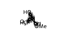 COc1ccc(CNc2nnc(N3CCC(O)CC3)c3ccc([N+](=O)[O-])cc23)cc1Cl.Cl